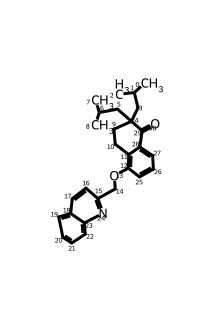 CC(C)CC1(CC(C)C)CCc2c(OCc3ccc4ccccc4n3)cccc2C1=O